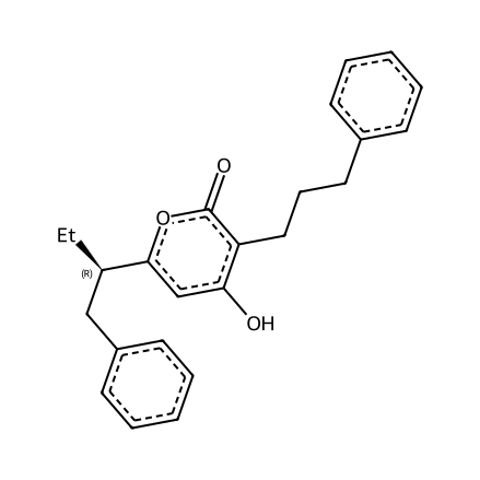 CC[C@H](Cc1ccccc1)c1cc(O)c(CCCc2ccccc2)c(=O)o1